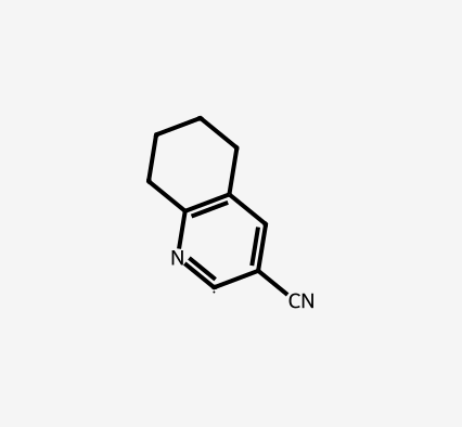 N#Cc1[c]nc2c(c1)CCCC2